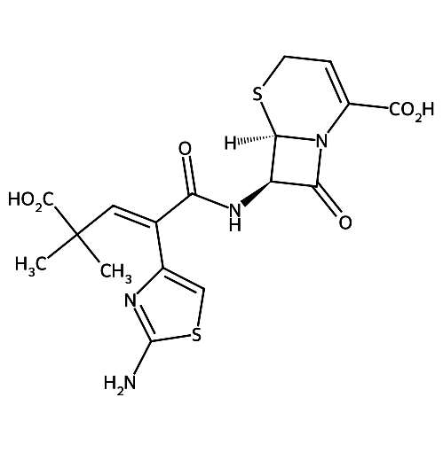 CC(C)(/C=C(/C(=O)N[C@@H]1C(=O)N2C(C(=O)O)=CCS[C@H]12)c1csc(N)n1)C(=O)O